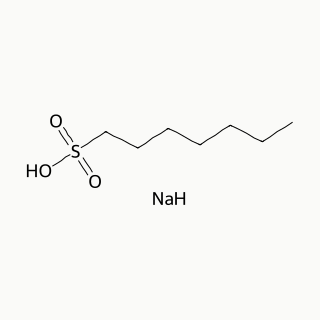 CCCCCCCS(=O)(=O)O.[NaH]